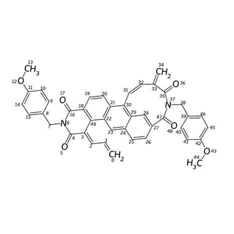 C=C/C=C1/C(=O)N(Cc2ccc(OC)cc2)C(=O)c2ccc3c(cc4ccc5cc4c3ccc(=C)c(=O)n(Cc3ccc(OC)cc3)c5=O)c21